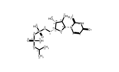 C=C1NC(=O)C=CN1[C@@H]1O[C@H](COP(=O)(O)OP(=O)(O)OC(C)C)[C@H](O)C1O